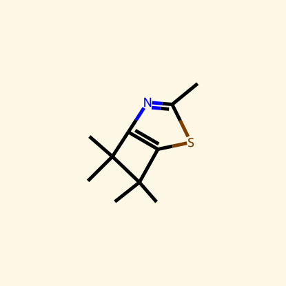 Cc1nc2c(s1)C(C)(C)C2(C)C